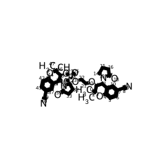 CC1(C)Oc2ccc(C#N)cc2[C@@H](N2CCCC2=O)[C@@H]1OCCOP(=O)(O)O[C@H]1[C@H](N2CCCC2=O)c2cc(C#N)ccc2OC1(C)C